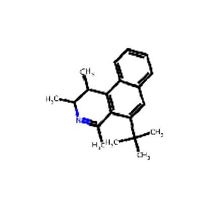 CC1=NC(C)C(C)c2c1c(C(C)(C)C)cc1ccccc21